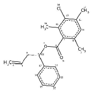 C=CC[C@H](OC(=O)c1c(C)cc(C)c(Cl)c1C)c1ccccc1